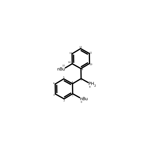 CCCCc1ccccc1C(P)c1ccccc1CCCC